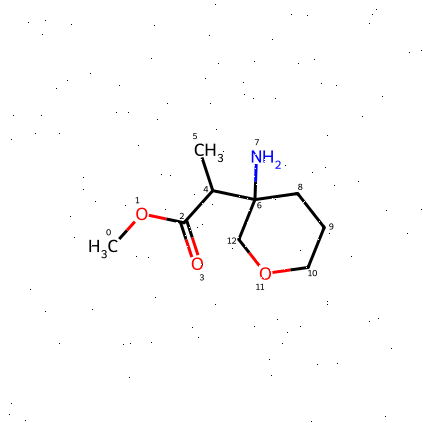 COC(=O)C(C)C1(N)CCCOC1